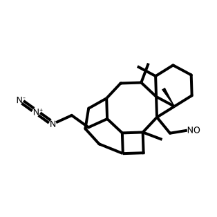 CC1CCC[C@@]2(C)C13C(C)CC1CCCC4CC(C)(C4C1CCN=[N+]=[N-])C32CN=O